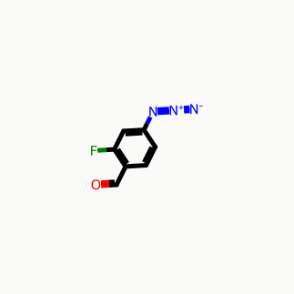 [N-]=[N+]=Nc1ccc(C=O)c(F)c1